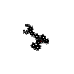 CC(C)(C)c1ccc2c(c1)C(C)(C)c1ccc(-c3ccc(N(c4ccc(-c5cccc6oc7ccccc7c56)cc4)c4cccc5c4C(C)(C)c4ccccc4-5)cc3)cc1-2